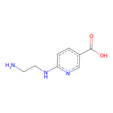 NCCNc1ccc(C(=O)O)cn1